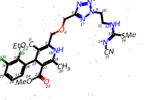 CCOC(=O)C1=C(COCc2nnn(CCNC(=NC#N)SC)n2)NC(C)=C(C(=O)OC)C1c1cccc(Cl)c1Cl